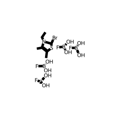 CCN1C(C)=C(C)SC1Br.OB(O)F.OB(O)F.OB(O)F.OB(O)F